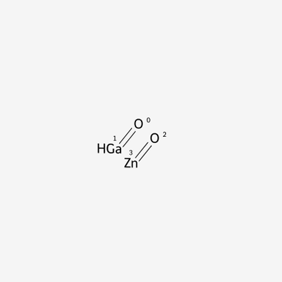 [O]=[GaH].[O]=[Zn]